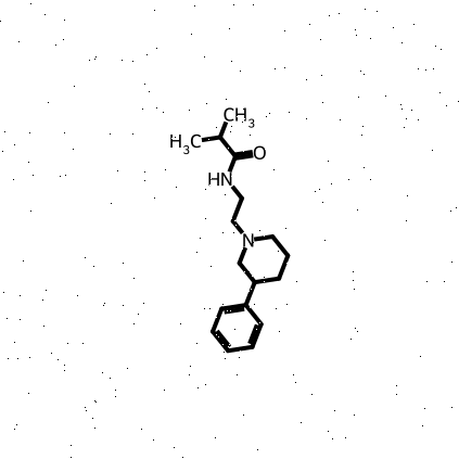 CC(C)C(=O)NCCN1CCCC(c2ccccc2)C1